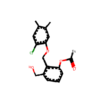 CCC(=O)Oc1cccc(CO)c1COc1cc(C)c(C)cc1Cl